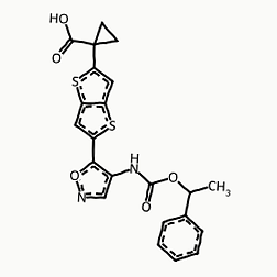 CC(OC(=O)Nc1cnoc1-c1cc2sc(C3(C(=O)O)CC3)cc2s1)c1ccccc1